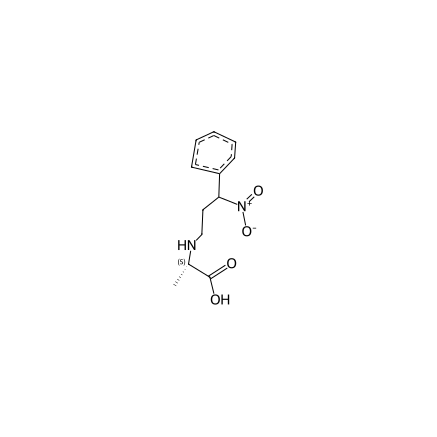 C[C@H](NCCC(c1ccccc1)[N+](=O)[O-])C(=O)O